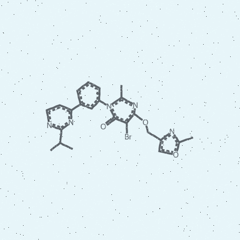 Cc1nc(COc2nc(C)n(-c3cccc(-c4ccnc(C(C)C)n4)c3)c(=O)c2Br)co1